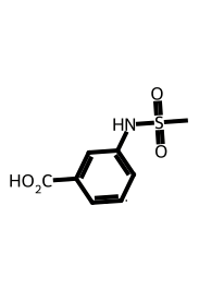 CS(=O)(=O)Nc1c[c]cc(C(=O)O)c1